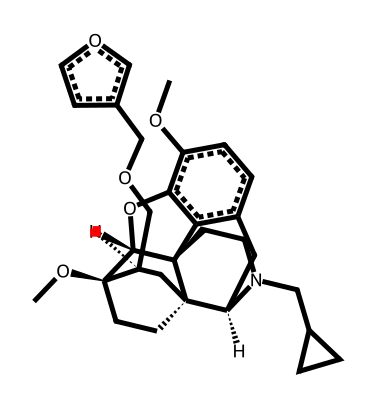 COc1ccc2c3c1O[C@H]1[C@@]4(OC)CC[C@@]5(C[C@]4(C)COCc4ccoc4)[C@@H](C2)N(CC2CC2)CC[C@]315